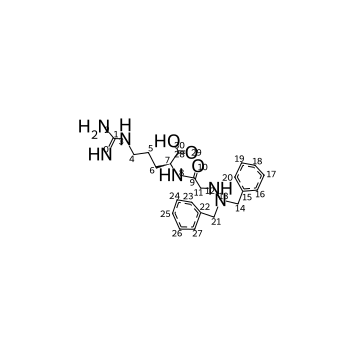 N=C(N)NCCC[C@H](NC(=O)CNN(Cc1ccccc1)Cc1ccccc1)C(=O)O